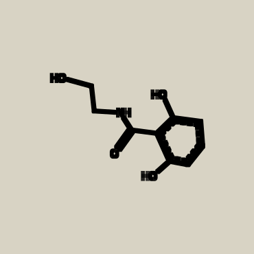 O=C(NCCO)c1c(O)cccc1O